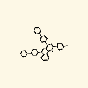 Cc1ccc(-c2cc(-c3ccc(-c4ccccc4)cc3)c3cc(-c4ccc(-c5ccccc5)cc4)c4ccccc4c3n2)cc1